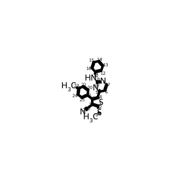 CSc1sc(-c2ccnc(Nc3ccccc3)n2)c(-c2ccc(C)cc2)c1C#N